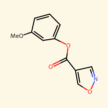 COc1cccc(OC(=O)c2cnoc2)c1